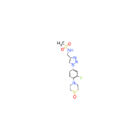 CS(=O)(=O)NCc1cn(-c2ccc(N3CC[S+]([O-])CC3)c(F)c2)nn1